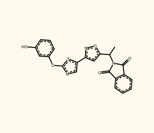 CC(c1cc(-c2cnc(Oc3cccc(O)c3)s2)no1)N1C(=O)c2ccccc2C1=O